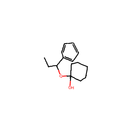 CCC(OC1(O)CCCCC1)c1ccccc1